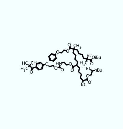 CCCCC(CC)COC(=O)C(CC)CCCCC(CCCCC(C)(CCCCC(C)(CC)C(=O)OCC(C)C)C(=O)OCCOc1ccccc1)C(=O)OCCNC(=O)OCCOc1ccc(C(=O)C(C)(C)O)cc1